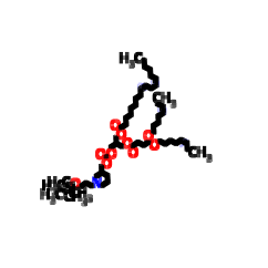 CC/C=C\CCCCOC(CCC(=O)OCC(COC(=O)CCCCCCC/C=C\C/C=C\CCCCC)COC(=O)OCC1CCCN(CCCO[Si](C)(C)C(C)(C)C)C1)OCCCC/C=C\CC